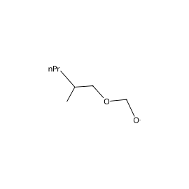 CCCC(C)COC[O]